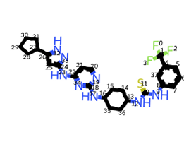 FC(F)(F)c1cccc(NC(=S)NC2CCC(Nc3nccc(Nc4cc(C5CCCC5)[nH]n4)n3)CC2)c1